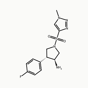 Cn1cc(S(=O)(=O)N2C[C@@H](N)[C@H](c3ccc(F)cc3)C2)nn1